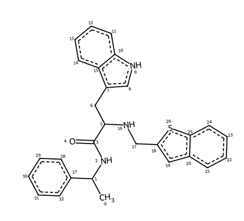 CC(NC(=O)C(Cc1c[nH]c2ccccc12)NCc1cc2ccccc2s1)c1ccccc1